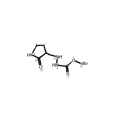 CC(C)(C)OC(=O)NNC1CCNC1=O